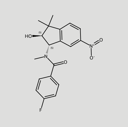 CN(C(=O)c1ccc(F)cc1)[C@H]1c2cc([N+](=O)[O-])ccc2C(C)(C)[C@@H]1O